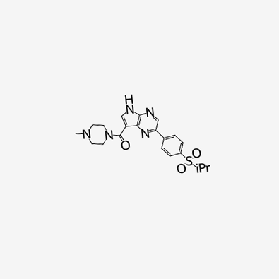 CC(C)S(=O)(=O)c1ccc(-c2cnc3[nH]cc(C(=O)N4CCN(C)CC4)c3n2)cc1